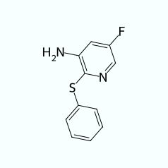 Nc1cc(F)cnc1Sc1ccccc1